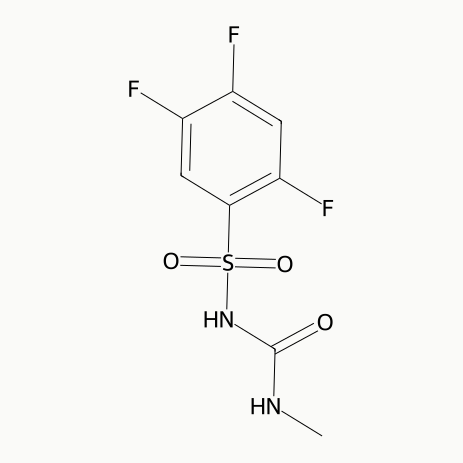 CNC(=O)NS(=O)(=O)c1cc(F)c(F)cc1F